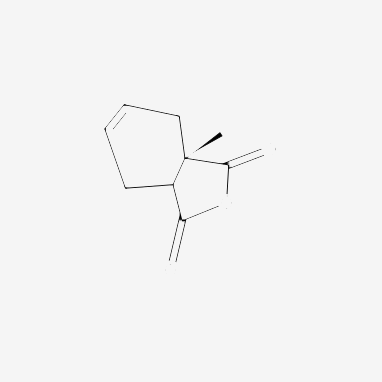 O=C1OC(=O)[C@H]2CC=CCC12